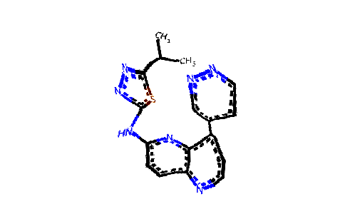 CC(C)c1nnc(Nc2ccc3nccc(-c4ccnnc4)c3n2)s1